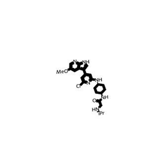 COc1cnc2[nH]cc(-c3cc(Cl)nc(N[C@H]4CC[C@H](NC(=O)CNC(C)C)CC4)c3)c2c1